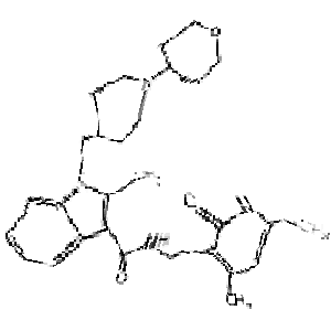 Cc1cc(C)c(CNC(=O)c2c(C)n(CC3CCN(C4CCOCC4)CC3)c3ccccc23)c(=O)[nH]1